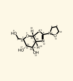 OC[C@H]1O[C@@H]2SC(N3CCCO3)=N[C@@H]2[C@@H](O)[C@@H]1O